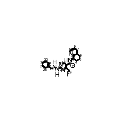 O=C(NC1CCCc2cccnc21)c1cnc(NNCc2ccccc2)nc1CF